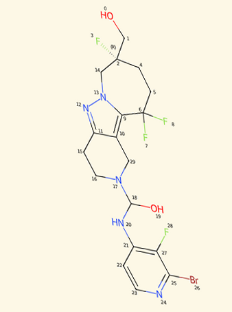 OC[C@@]1(F)CCC(F)(F)c2c3c(nn2C1)CCN(C(O)Nc1ccnc(Br)c1F)C3